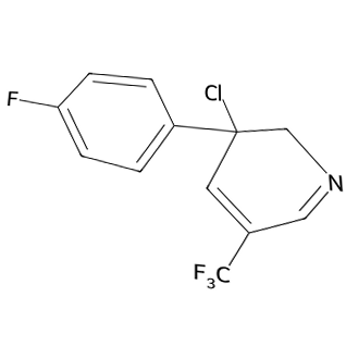 Fc1ccc(C2(Cl)C=C(C(F)(F)F)C=NC2)cc1